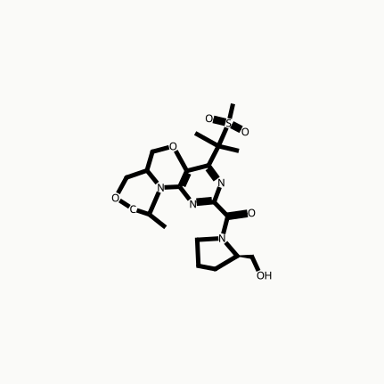 CC1COCC2COc3c(nc(C(=O)N4CCC[C@@H]4CO)nc3C(C)(C)S(C)(=O)=O)N12